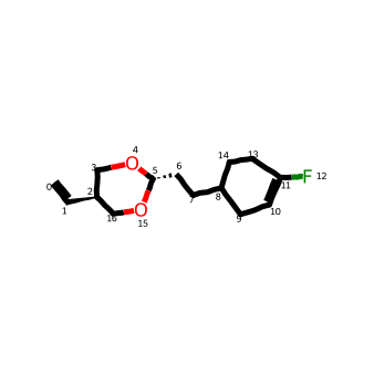 C=C[C@H]1CO[C@H](CCC2CC=C(F)CC2)OC1